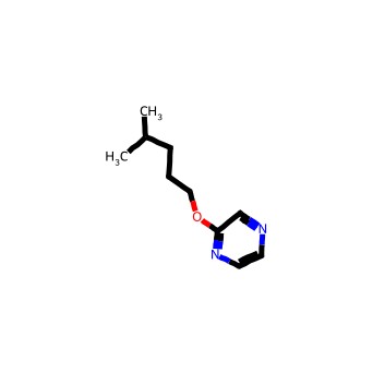 CC(C)CCCOc1cnccn1